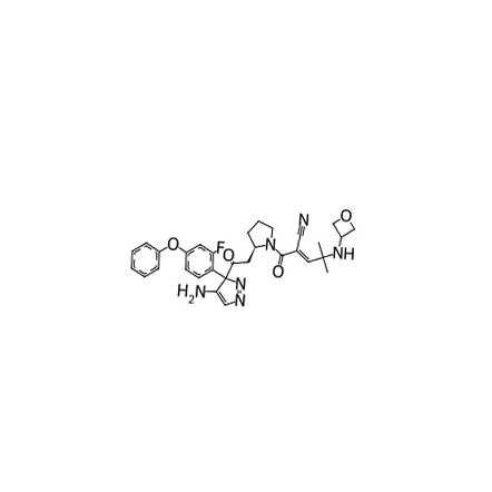 CC(C)(C=C(C#N)C(=O)N1CCC[C@@H]1CC(=O)C1(c2ccc(Oc3ccccc3)cc2F)N=NC=C1N)NC1COC1